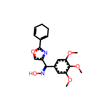 COc1cc(C(=NO)c2coc(C3=CCCC=C3)n2)cc(OC)c1OC